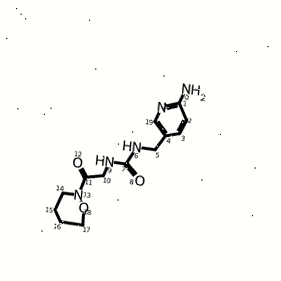 Nc1ccc(CNC(=O)NCC(=O)N2CCCCO2)cn1